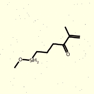 C=C(C)C(=O)CCC[SiH2]OC